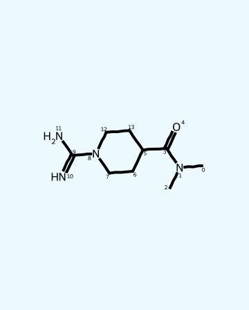 CN(C)C(=O)C1CCN(C(=N)N)CC1